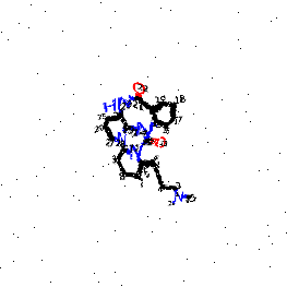 CN(C)CCCC1CCCCN1C(=O)N1c2ccccc2C(=O)Nc2cccnc21